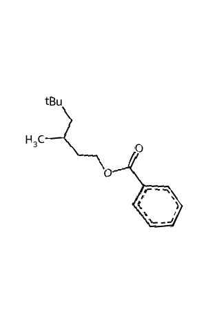 CC(CCOC(=O)c1ccccc1)CC(C)(C)C